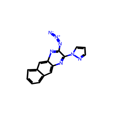 [N-]=[N+]=Nc1nc2cc3ccccc3cc2nc1-n1cccn1